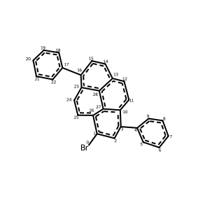 Brc1cc(-c2ccccc2)c2ccc3ccc(-c4ccccc4)c4ccc1c2c34